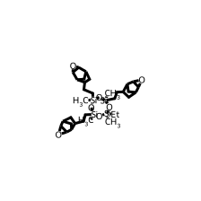 CC[Si]1(C)O[Si](C)(CCC2CC3CC2C2OC32)O[Si](C)(CCC2CC3CC2C2OC32)O[Si](C)(CCC2CC3CC2C2OC32)O1